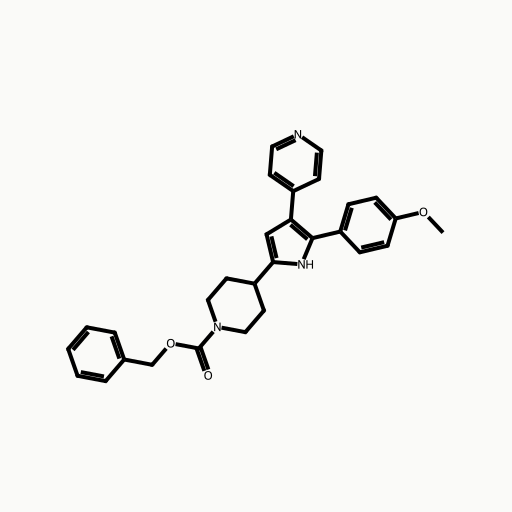 COc1ccc(-c2[nH]c(C3CCN(C(=O)OCc4ccccc4)CC3)cc2-c2ccncc2)cc1